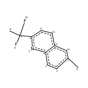 Cc1ccc2nc(C(C)(F)F)ccc2c1